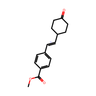 COC(=O)c1ccc(/C=C/C2CCC(=O)CC2)cc1